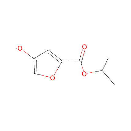 CC(C)OC(=O)c1cc([O])co1